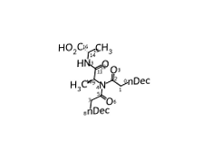 CCCCCCCCCCCC(=O)N(C(=O)CCCCCCCCCCC)[C@@H](C)C(=O)N[C@@H](C)C(=O)O